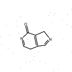 O=C1N=CCC2=C1CN=C2